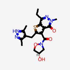 CCc1nn(C)c(=O)c2c(C(=O)N3C[C@H](O)CO3)c(Cc3c(C)n[nH]c3C)sc12